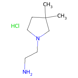 CC1(C)CCN(CCN)C1.Cl